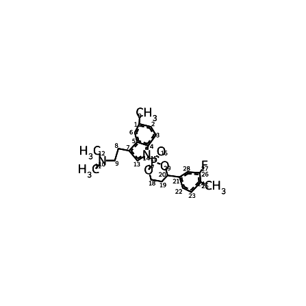 Cc1ccc2c(c1)c(CCN(C)C)cn2P1(=O)OCCC(c2ccc(C)c(F)c2)O1